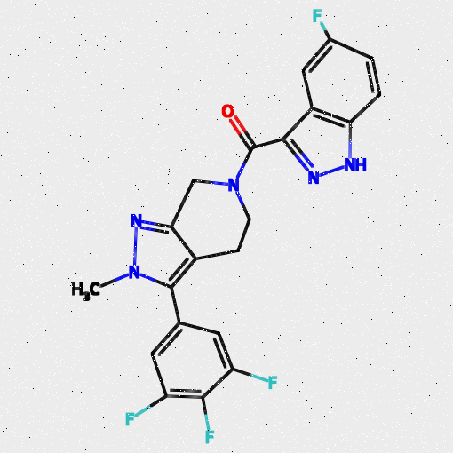 Cn1nc2c(c1-c1cc(F)c(F)c(F)c1)CCN(C(=O)c1n[nH]c3ccc(F)cc13)C2